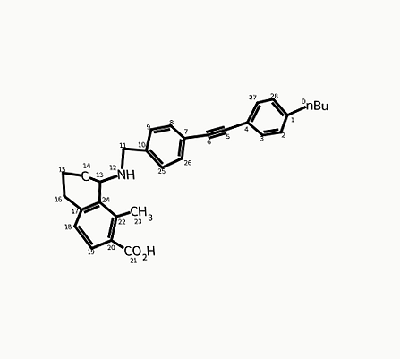 CCCCc1ccc(C#Cc2ccc(CNC3CCCc4ccc(C(=O)O)c(C)c43)cc2)cc1